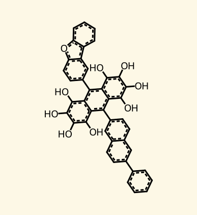 Oc1c(O)c(O)c2c(-c3ccc4oc5ccccc5c4c3)c3c(O)c(O)c(O)c(O)c3c(-c3ccc4cc(-c5ccccc5)ccc4c3)c2c1O